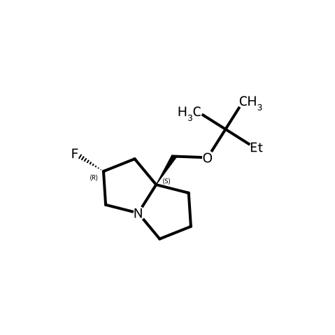 CCC(C)(C)OC[C@@]12CCCN1C[C@H](F)C2